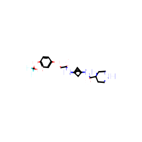 O=C(COc1ccc2c(c1)OC(F)(F)O2)NC12CC(NC(=O)C3CCNCC3)(C1)C2